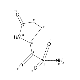 NS(=O)(=O)C(=O)C1CCC(=O)N1